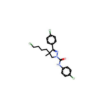 CC1(CCCCCl)CN(C(=O)Nc2ccc(Cl)cc2)N=C1c1ccc(Cl)cc1